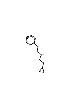 c1ccc(CCNCCC2CC2)cc1